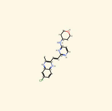 Cc1nc2cc(Cl)ccc2nc1/C=C/c1nccc(NC2CCOCC2)n1